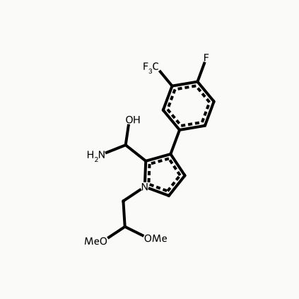 COC(Cn1ccc(-c2ccc(F)c(C(F)(F)F)c2)c1C(N)O)OC